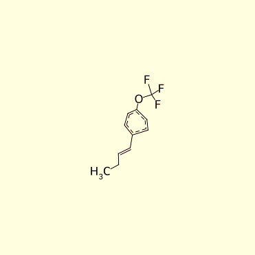 CCC=Cc1ccc(OC(F)(F)F)cc1